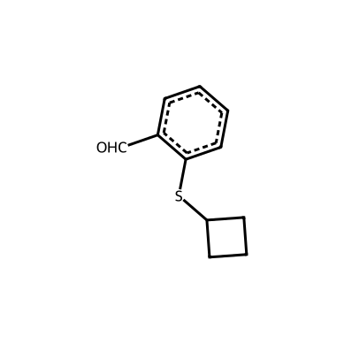 O=Cc1ccccc1SC1CCC1